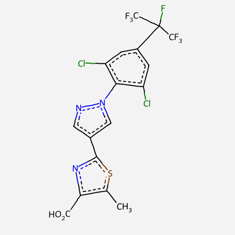 Cc1sc(-c2cnn(-c3c(Cl)cc(C(F)(C(F)(F)F)C(F)(F)F)cc3Cl)c2)nc1C(=O)O